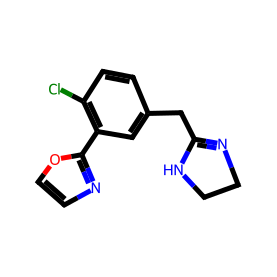 Clc1ccc(CC2=NCCN2)cc1-c1ncco1